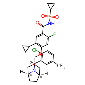 O=C(NS(=O)(=O)C1CC1)c1cc(C2CC2)c(OC[C@@H]2C[C@H]3CC[C@@H](C2)N3Cc2cc(C(F)(F)F)ccc2Cl)cc1F